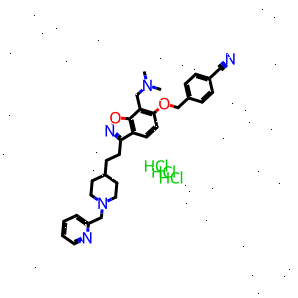 CN(C)Cc1c(OCc2ccc(C#N)cc2)ccc2c(CCC3CCN(Cc4ccccn4)CC3)noc12.Cl.Cl.Cl